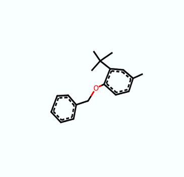 Cc1ccc(OCc2ccccc2)c(C(C)(C)C)c1